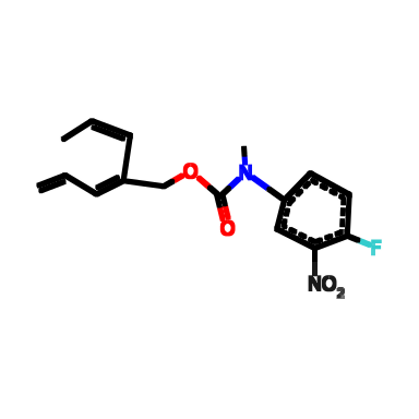 C=C/C=C(\C=C/C)COC(=O)N(C)c1ccc(F)c([N+](=O)[O-])c1